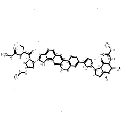 CC[C@H](NC(=O)OC)C(=O)N1C[C@@H](COC)C[C@H]1c1nc2ccc3cc4c(cc3c2[nH]1)OCc1cc(-c2cnc([C@@H]3CC[C@@H]5CC(C)[C@H](NC(=O)OC)C(=O)N53)[nH]2)ccc1-4